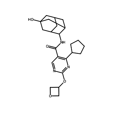 O=C(NC1C2CC3CC1CC(O)(C3)C2)c1cnc(OC2COC2)nc1C1CCCC1